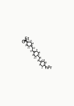 CCCC1CCC(CCC2CCC(CCC3CCC(C(=O)CC)CC3)CC2)CC1